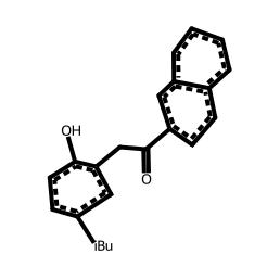 CCC(C)c1ccc(O)c(CC(=O)c2ccc3ccccc3c2)c1